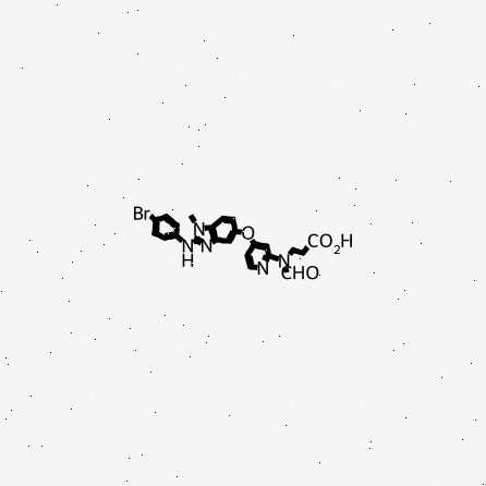 Cn1c(Nc2ccc(Br)cc2)nc2cc(Oc3ccnc(N(C=O)CCC(=O)O)c3)ccc21